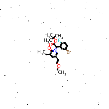 CCO/C=C/c1cc(CC)c(=O)n(C(C(=O)OC(C)(C)C)c2cc(Br)ccc2F)c1